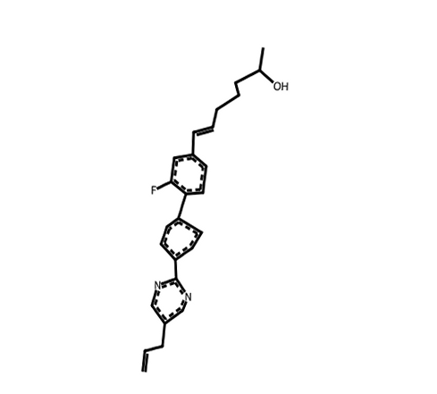 C=CCc1cnc(-c2ccc(-c3ccc(C=CCCCC(C)O)cc3F)cc2)nc1